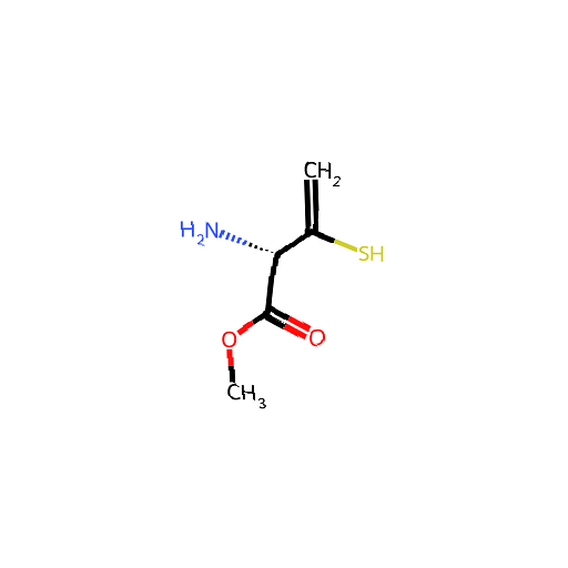 C=C(S)[C@@H](N)C(=O)OC